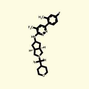 [2H]C([2H])(C1CCOCC1)N1C[C@H]2CC(Nc3nnc(-c4ccc(F)cc4C)cc3C(F)(F)F)C[C@H]2C1